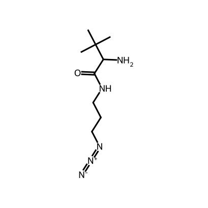 CC(C)(C)C(N)C(=O)NCCCN=[N+]=[N-]